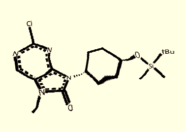 Cn1c(=O)n([C@H]2CC[C@H](O[Si](C)(C)C(C)(C)C)CC2)c2nc(Cl)ncc21